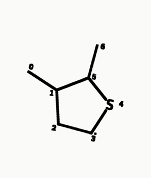 CC1C[CH]SC1C